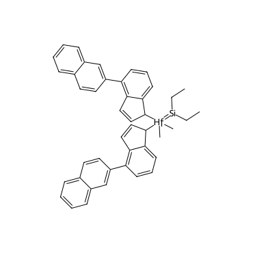 CC[Si](CC)=[Hf]([CH3])([CH3])([CH]1C=Cc2c(-c3ccc4ccccc4c3)cccc21)[CH]1C=Cc2c(-c3ccc4ccccc4c3)cccc21